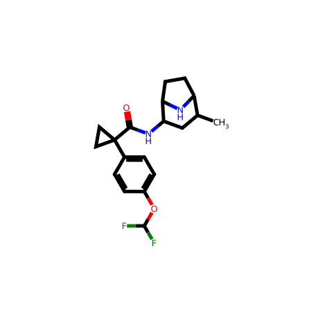 CC1CC(NC(=O)C2(c3ccc(OC(F)F)cc3)CC2)C2CCC1N2